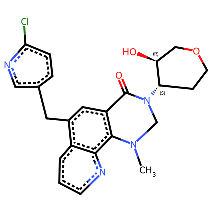 CN1CN([C@H]2CCOC[C@@H]2O)C(=O)c2cc(Cc3ccc(Cl)nc3)c3cccnc3c21